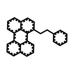 c1ccc(CCc2ccc3cccc4c5cccc6cccc(c2c34)c65)cc1